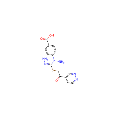 N/N=C(/SCC(=O)c1ccnnc1)N(N)c1ccc(C(=O)O)cc1